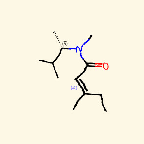 CC/C(C)=C\C(=O)N(C)[C@@H](C)C(C)C